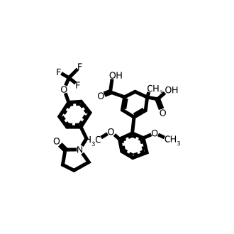 COc1cccc(OC)c1C1=CC(C)(C(=O)O)CC(C(=O)O)=C1.O=C1CCCN1Cc1ccc(OC(F)(F)F)cc1